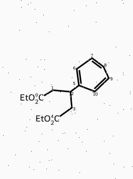 CCOC(=O)CC(CC(=O)OCC)c1ccccc1